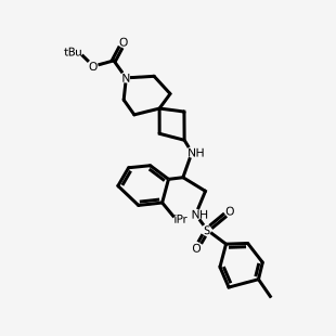 Cc1ccc(S(=O)(=O)NCC(NC2CC3(CCN(C(=O)OC(C)(C)C)CC3)C2)c2ccccc2C(C)C)cc1